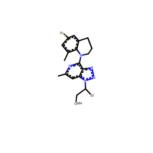 CCC(COC)n1nnc2c(N3CCCc4cc(Br)cc(C)c43)nc(C)cc21